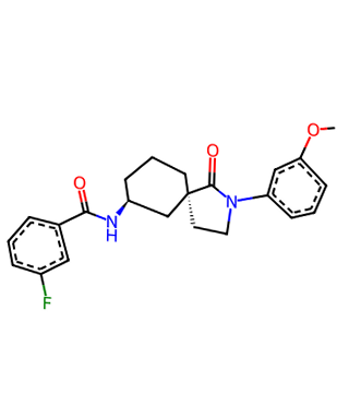 COc1cccc(N2CC[C@]3(CCC[C@H](NC(=O)c4cccc(F)c4)C3)C2=O)c1